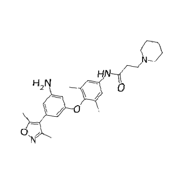 Cc1cc(NC(=O)CCN2CCCCC2)cc(C)c1Oc1cc(N)cc(-c2c(C)noc2C)c1